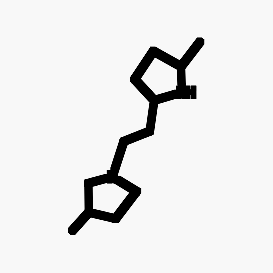 CC1CCN(CCC2CCC(C)N2)C1